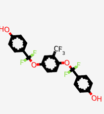 Oc1ccc(C(F)(F)Oc2ccc(OC(F)(F)c3ccc(O)cc3)c(C(F)(F)F)c2)cc1